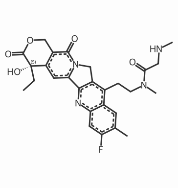 CC[C@@]1(O)C(=O)OCc2c1cc1n(c2=O)Cc2c-1nc1cc(F)c(C)cc1c2CCN(C)C(=O)CNC